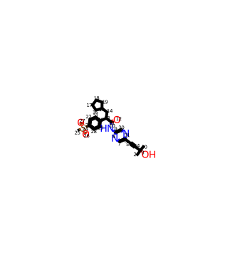 CC(C)(O)C#Cc1cnc(NC(=O)C(CC2CCCC2)c2ccc(S(C)(=O)=O)cc2)cn1